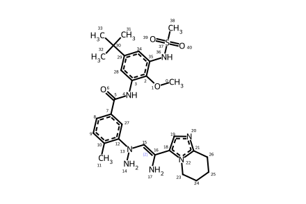 COc1c(NC(=O)c2ccc(C)c(N(N)/C=C(\N)c3cnc4n3CCCC4)c2)cc(C(C)(C)C)cc1NS(C)(=O)=O